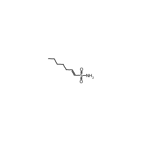 CCCCCC=CS(N)(=O)=O